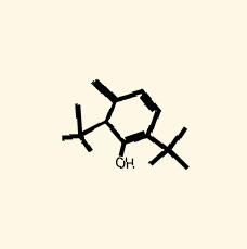 C=C1C=CC(C(C)(C)C)=C(O)C1C(C)(C)C